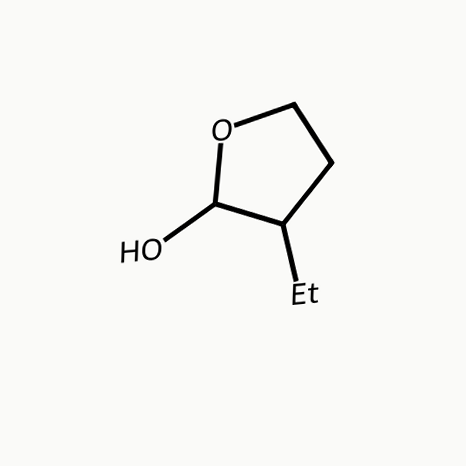 CCC1CCOC1O